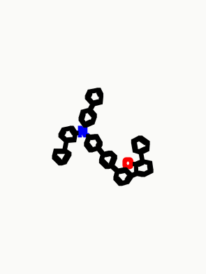 c1ccc(-c2ccc(N(c3ccc(-c4ccc(-c5cccc6c5oc5c(-c7ccccc7)cccc56)cc4)cc3)c3cccc(-c4ccccc4)c3)cc2)cc1